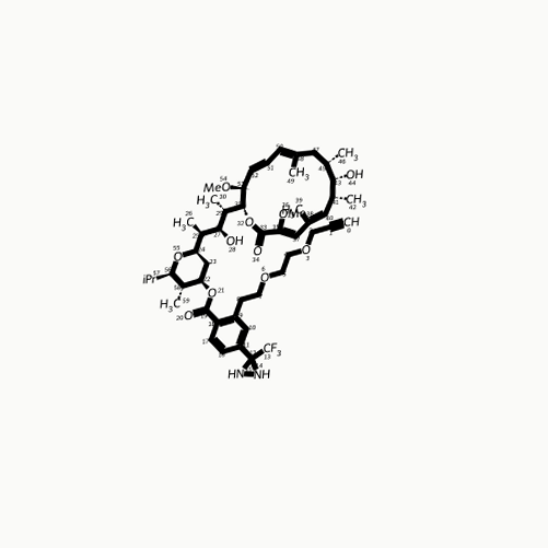 C#CCOCCOCCc1cc(C2(C(F)(F)F)NN2)ccc1C(=O)O[C@@H]1C[C@H]([C@@H](C)[C@H](O)[C@H](C)[C@H]2OC(=O)/C(OC)=C/C(C)=C/[C@@H](C)[C@@H](O)[C@@H](C)C/C(C)=C/C=C/[C@@H]2OC)O[C@H](C(C)C)[C@H]1C